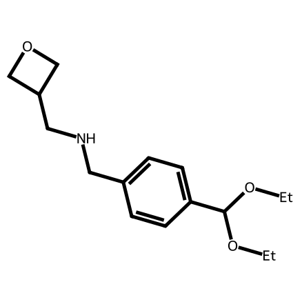 CCOC(OCC)c1ccc(CNCC2COC2)cc1